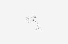 CO[Si](CO[Si](C)(C)CO[Si](C)(O[Si](OC)(OC)OC)O[Si](OC)(OC)OC)(OC)OC